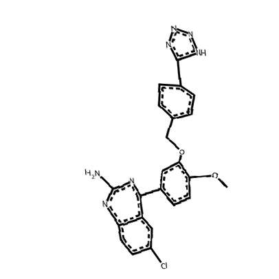 COc1ccc(-c2nc(N)nc3ccc(Cl)cc23)cc1OCc1ccc(-c2nnn[nH]2)cc1